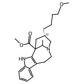 COCCCC[C@@H]1CN2CCc3c([nH]c4ccccc34)C(C(=O)OC)(C1)C2C